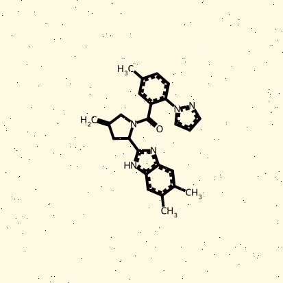 C=C1CC(c2nc3cc(C)c(C)cc3[nH]2)N(C(=O)c2cc(C)ccc2-n2cccn2)C1